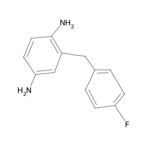 Nc1ccc(N)c(Cc2ccc(F)cc2)c1